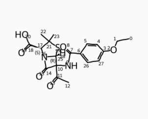 CCOc1ccc(C(=O)NC2(C(C)=O)C(=O)N3[C@@H](C(=O)O)C(C)(C)S[C@@H]32)cc1